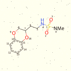 CNS(=O)(=O)NCCC1COc2ccccc2O1